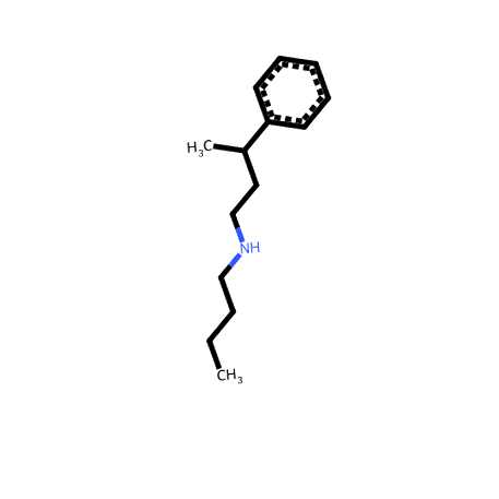 CCCCNCCC(C)c1ccccc1